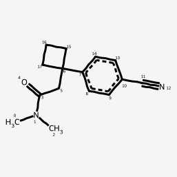 CN(C)C(=O)CC1(c2ccc(C#N)cc2)CCC1